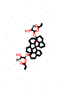 C=CC(=O)OC(Oc1ccc2cccc(C3(c4cccc5ccc(OC(OC(=O)C=C)C(O)C(C)C)cc45)c4ccccc4-c4ccccc43)c2c1)C(O)C(C)C